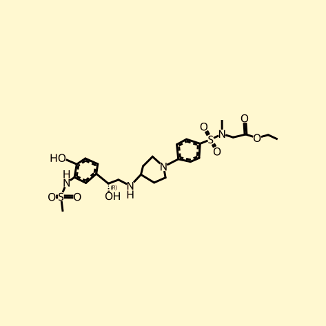 CCOC(=O)CN(C)S(=O)(=O)c1ccc(N2CCC(NC[C@H](O)c3ccc(O)c(NS(C)(=O)=O)c3)CC2)cc1